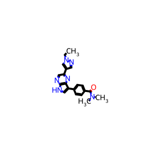 CCn1cc(-c2cnc3[nH]cc(-c4ccc(C(=O)N(C)C)cc4)c3n2)cn1